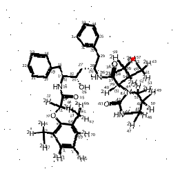 [2H]c1c([2H])c(C([2H])([2H])[2H])c(OC([2H])([2H])C(=O)N[C@@H](Cc2ccccc2)[C@@H](O)C[C@H](Cc2ccccc2)NC(=O)[C@@]([2H])(N2C(=O)NC([2H])([2H])C([2H])([2H])C2([2H])[2H])C([2H])(C([2H])([2H])[2H])C([2H])([2H])[2H])c(C([2H])([2H])[2H])c1[2H]